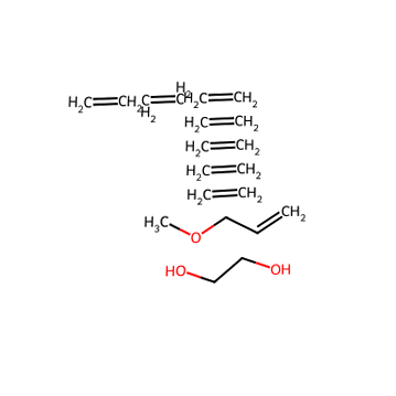 C=C.C=C.C=C.C=C.C=C.C=C.C=C.C=CCOC.OCCO